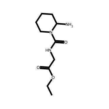 CCOC(=O)CNC(=O)N1CCCCC1N